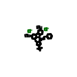 CC1C=C([Si](C)(C)C)C=[C]1/[Zr+2](=[CH]/Cc1ccccc1)[CH]1c2ccc(C(C)(C)C)cc2-c2cc(C(C)(C)C)ccc21.[Cl-].[Cl-]